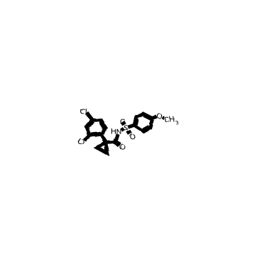 COc1ccc(S(=O)(=O)NC(=O)C2(c3ccc(Cl)cc3Cl)CC2)cc1